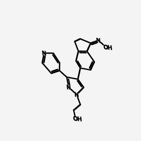 OCCn1cc(-c2ccc3c(c2)CC/C3=N/O)c(-c2ccncc2)n1